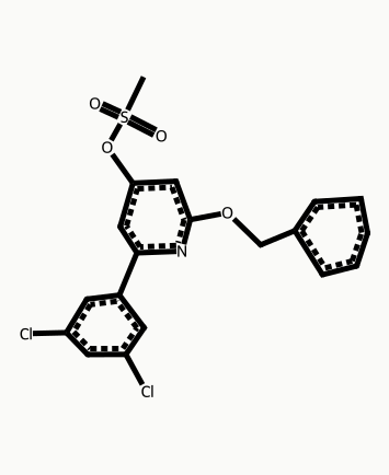 CS(=O)(=O)Oc1cc(OCc2ccccc2)nc(-c2cc(Cl)cc(Cl)c2)c1